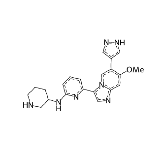 COc1cc2ncc(-c3cccc(NC4CCCNC4)n3)n2cc1-c1cn[nH]c1